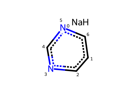 [NaH].c1cncnc1